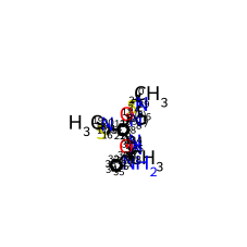 Cc1csc([C@H]2CCCN2C(=O)c2cc(-c3csc(C)n3)cc(-c3nnc([C@@](C)(N)Cc4ccccc4)o3)c2)n1